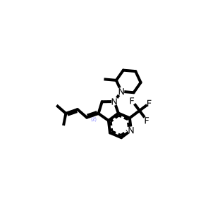 CC(C)=C/C=C1\CN(N2CCCCC2C)c2c1ccnc2C(F)(F)F